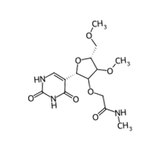 CNC(=O)COC1C(OC)[C@@H](COC)O[C@H]1c1c[nH]c(=O)[nH]c1=O